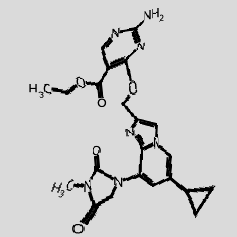 CCOC(=O)c1cnc(N)nc1OCc1cn2cc(C3CC3)cc(N3CC(=O)N(C)C3=O)c2n1